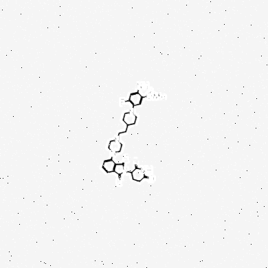 COc1cc(N2CCC(CCN3CCN(c4cccc5c4C(=O)N(C4CCC(=O)NC4=O)C5=O)CC3)CC2)c(F)cc1N